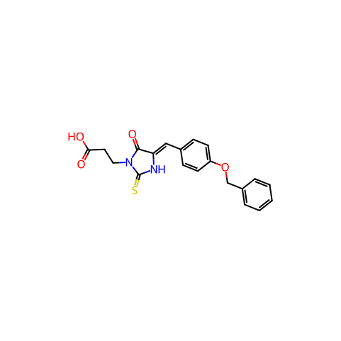 O=C(O)CCN1C(=O)/C(=C/c2ccc(OCc3ccccc3)cc2)NC1=S